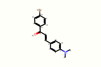 CN(C)c1ccc(C=CC(=O)c2ccc(Br)cc2)cc1